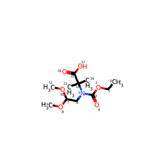 CCOC(=O)N(CC(OC)OC)C(C)(C)C(=O)O